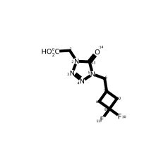 O=C(O)Cn1nnn(CC2CC(F)(F)C2)c1=O